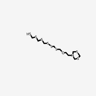 SCSCSCSSCSCOCCN1CSCSC1